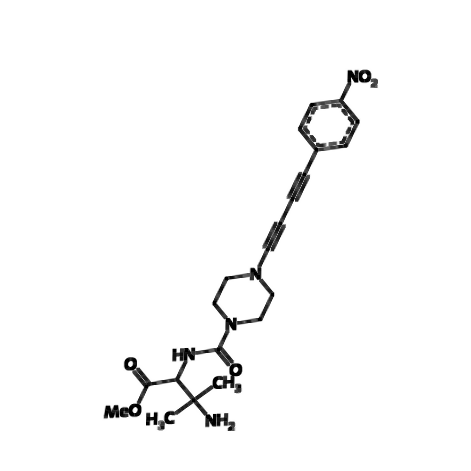 COC(=O)C(NC(=O)N1CCN(C#CC#Cc2ccc([N+](=O)[O-])cc2)CC1)C(C)(C)N